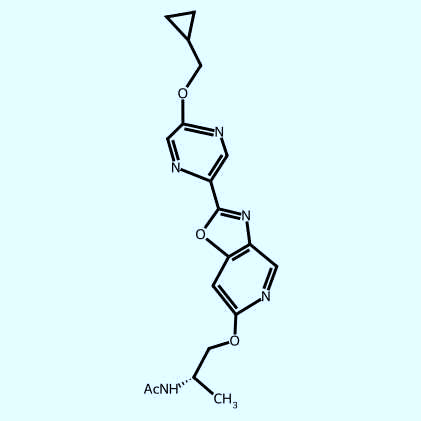 CC(=O)N[C@@H](C)COc1cc2oc(-c3cnc(OCC4CC4)cn3)nc2cn1